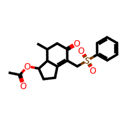 CC(=O)OC1CCC2=C(CS(=O)(=O)c3ccccc3)C(=O)CC(C)C21